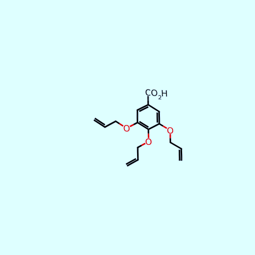 C=CCOc1cc(C(=O)O)cc(OCC=C)c1OCC=C